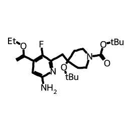 C=C(OCC)c1cc(N)nc(CC2(OC(C)(C)C)CCN(C(=O)OC(C)(C)C)CC2)c1F